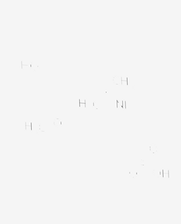 COc1cc(O)cc(CC(C)(C)NCCCS(=O)(=O)O)c1